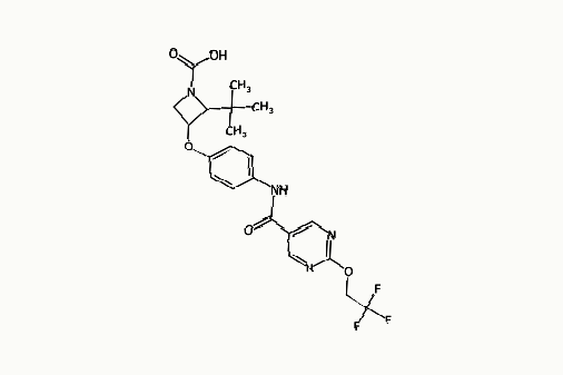 CC(C)(C)C1C(Oc2ccc(NC(=O)c3cnc(OCC(F)(F)F)nc3)cc2)CN1C(=O)O